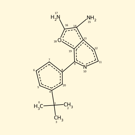 CC(C)(C)c1cccc(-c2nccc3c(N)c(N)oc23)c1